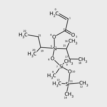 C=CC(=O)O[Si](O[Si](C)(C)O[Si](C)(C)C)(C(C)CC)C(C)CC